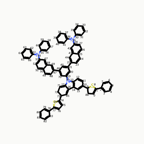 C1=C(c2ccccc2)SC(c2ccc3c(c2)c2c(n3-c3cc(-c4ccc5ccc(N(c6ccccc6)c6ccccc6)cc5c4)cc(-c4ccc5ccc(N(c6ccccc6)c6ccccc6)cc5c4)c3)=CCC(c3ccc(-c4ccccc4)s3)C=2)C1